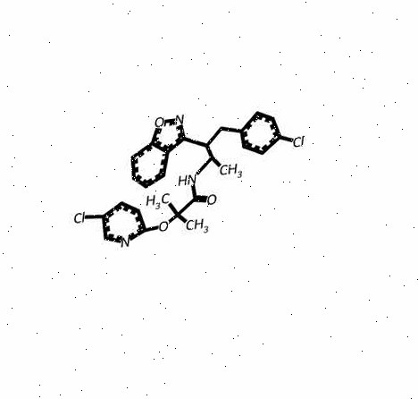 CC(NC(=O)C(C)(C)Oc1ccc(Cl)cn1)C(Cc1ccc(Cl)cc1)c1noc2ccccc12